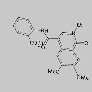 CCn1cc(C(=O)Nc2ccccc2C(=O)O)c2cc(OC)c(OC)cc2c1=O